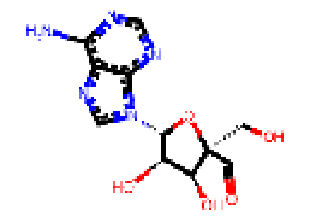 Nc1ncnc2c1ncn2[C@@H]1O[C@](C=O)(CO)[C@@H](O)[C@H]1O